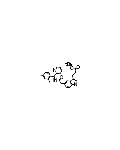 Cc1ccc(C(NC(=O)Cc2ccc3[nH]cc(CCC(=O)OC(C)(C)C)c3c2)c2ccccn2)c(C)c1